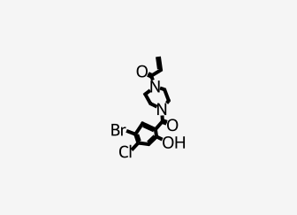 C=CC(=O)N1CCN(C(=O)c2cc(Br)c(Cl)cc2O)CC1